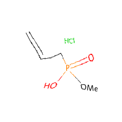 C=CCP(=O)(O)OC.Cl